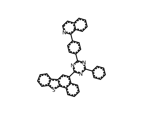 c1ccc(-c2nc(-c3ccc(-c4nccc5ccccc45)cc3)nc(-c3cc4c5ccccc5sc4c4ccccc34)n2)cc1